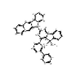 CC1(C)c2ccccc2-c2nc(-n3c4ccccc4c4cc5ccccc5cc43)nc(-c3cccc(-c4ccccc4)c3)c21